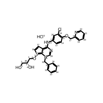 Cl.OC[C@@H](O)COS1=C2C(=C(Nc3ccc(OCc4ccccn4)c(Cl)c3)N=CN2Cc2ccccc2)C=C1